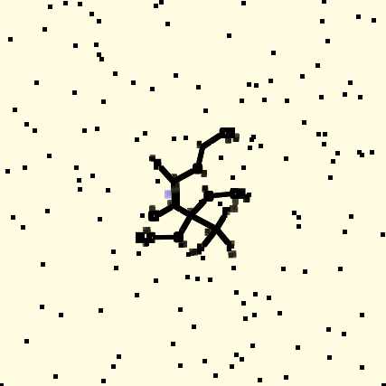 CCO/C(F)=C(/Cl)C(OC)(OC)C(F)(F)F